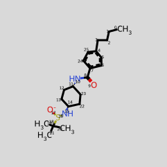 CCCCc1ccc(C(=O)N[C@H]2CC[C@H](N[S+]([O-])C(C)(C)C)CC2)cc1